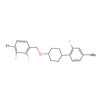 CCCCc1ccc(C2CCC(OCc3ccc(CC)c(F)c3F)CC2)c(F)c1